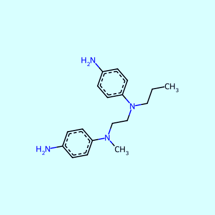 CCCN(CCN(C)c1ccc(N)cc1)c1ccc(N)cc1